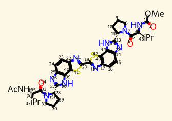 COC(=O)N[C@H](C(=O)N1CCC[C@H]1c1nc2ccc3nc(-c4nc5ccc6nc([C@@H]7CCCN7C(=O)[C@@H](NC(C)=O)C(C)C)[nH]c6c5s4)sc3c2[nH]1)C(C)C